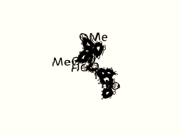 COc1ccc(C(OC[C@H]2O[C@@H](N3C=C4CCC5=C4C(=N3)C=NN(C(=O)c3ccccc3)C5)C[C@@H]2O)(c2ccccc2)c2ccc(OC)cc2)cc1